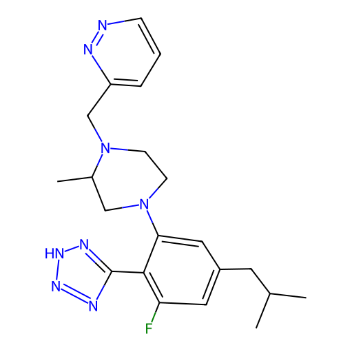 CC(C)Cc1cc(F)c(-c2nn[nH]n2)c(N2CCN(Cc3cccnn3)C(C)C2)c1